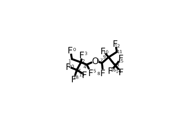 FCC(F)(C(F)OC(F)C(F)(CF)C(F)(F)F)C(F)(F)F